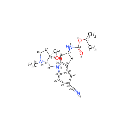 CC(C)OC(=O)N[C@H]1Cc2c(n(C[C@@H]3N(C)CC[C@@]3(C)O)c3ccc(C#N)cc23)C1